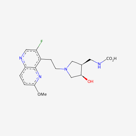 COc1ccc2ncc(F)c(CCN3C[C@@H](CNC(=O)O)[C@@H](O)C3)c2n1